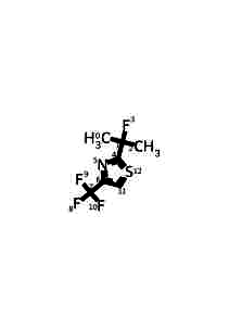 CC(C)(F)c1nc(C(F)(F)F)cs1